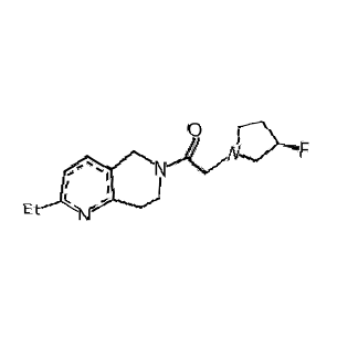 CCc1ccc2c(n1)CCN(C(=O)CN1CC[C@@H](F)C1)C2